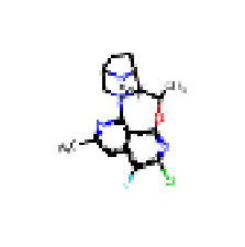 Cc1cc2c(F)c(Cl)nc3c2c(n1)N1CC2CCC(C1C(C)O3)N2C(=O)O